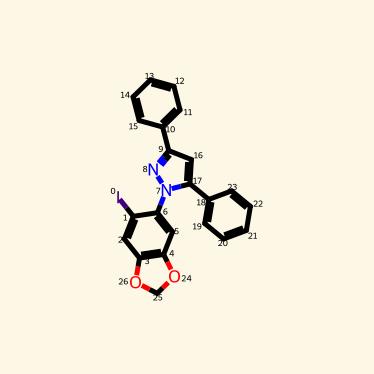 Ic1cc2c(cc1-n1nc(-c3ccccc3)cc1-c1ccccc1)OCO2